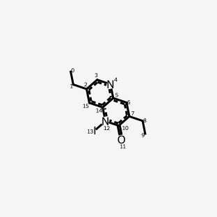 CCc1cnc2cc(CC)c(=O)n(I)c2c1